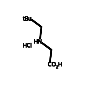 CC(C)(C)CNCC(=O)O.Cl